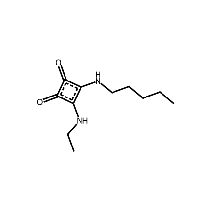 CCCCCNc1c(NCC)c(=O)c1=O